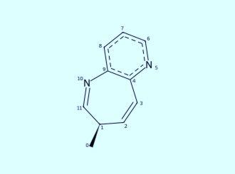 C[C@@H]1C=Cc2ncccc2N=C1